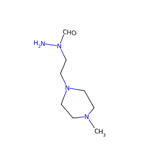 CN1CCN(CCN(N)[C]=O)CC1